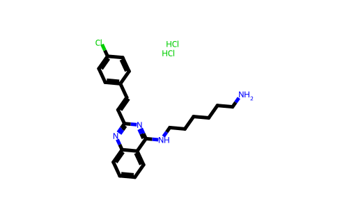 Cl.Cl.NCCCCCCNc1nc(/C=C/c2ccc(Cl)cc2)nc2ccccc12